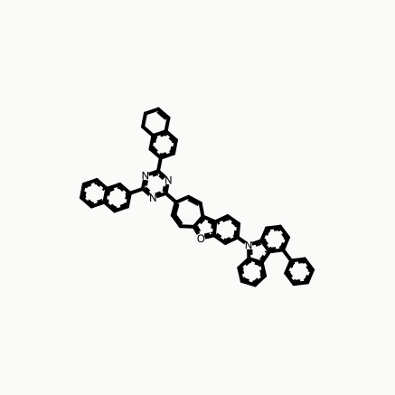 C1=Cc2oc3cc(-n4c5ccccc5c5c(-c6ccccc6)cccc54)ccc3c2C=CC=1c1nc(-c2ccc3c(c2)CCC=C3)nc(-c2ccc3ccccc3c2)n1